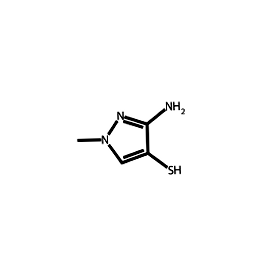 Cn1cc(S)c(N)n1